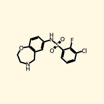 O=S(=O)(Nc1ccc2c(c1)CNCCO2)c1cccc(Cl)c1F